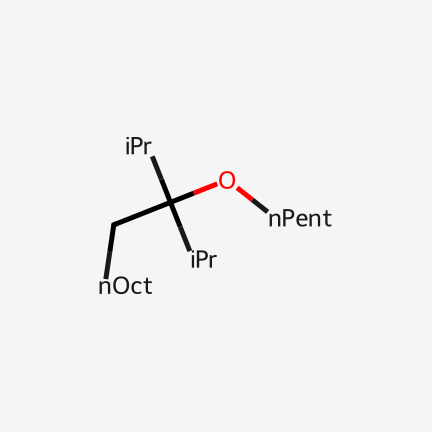 CCCCCCCCCC(OCCCCC)(C(C)C)C(C)C